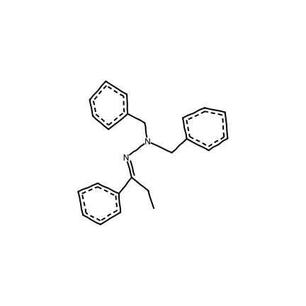 CCC(=NN(Cc1ccccc1)Cc1ccccc1)c1ccccc1